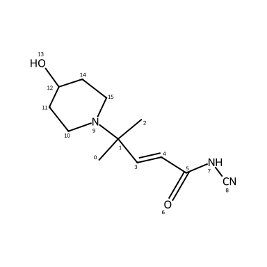 CC(C)(C=CC(=O)NC#N)N1CCC(O)CC1